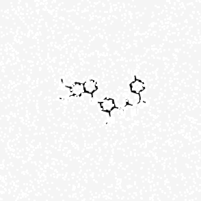 COc1cc(Oc2ccnc3cc(OC)c(OC)cc23)ccc1NC(=O)NC(C)c1ccc(F)cc1